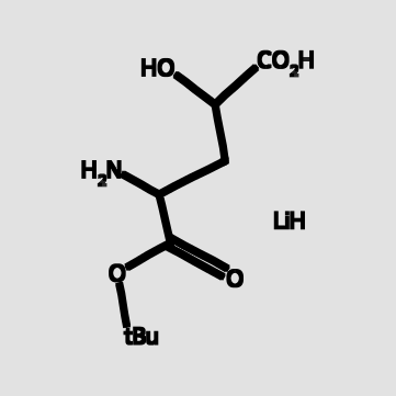 CC(C)(C)OC(=O)C(N)CC(O)C(=O)O.[LiH]